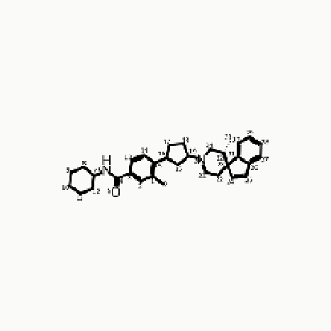 Cc1cc(C(=O)NC2CCCCC2)ccc1C1CCC(N2CCC3(C=Cc4ccccc43)[C@@H](C)C2)C1